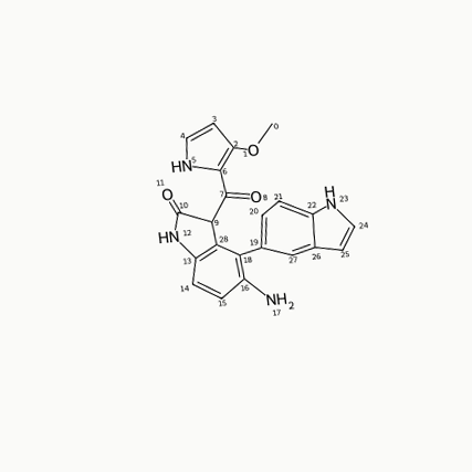 COc1cc[nH]c1C(=O)C1C(=O)Nc2ccc(N)c(-c3ccc4[nH]ccc4c3)c21